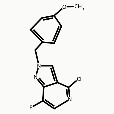 COc1ccc(Cn2cc3c(Cl)ncc(F)c3n2)cc1